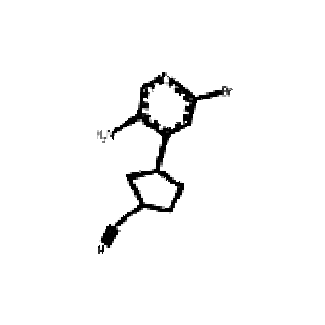 N#CC1CCC(c2cc(Br)ncc2N)C1